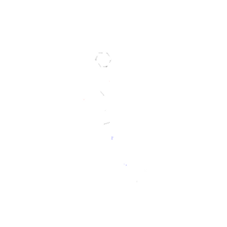 Cc1cccc(C[C@H](O)/C=C/[C@@H]2[C@H]3CC(CNCCCN(C(C)C)C(C)C)=C[C@H]3C[C@H]2O)c1